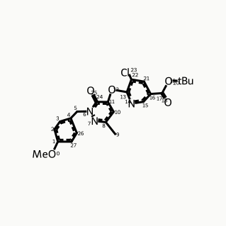 COc1ccc(Cn2nc(C)cc(Oc3ncc(C(=O)OC(C)(C)C)cc3Cl)c2=O)cc1